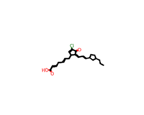 CCCC1CCC(/C=C/C=C2\C(=O)C(Cl)=CC2C/C=C/C/C=C/C(=O)O)C1